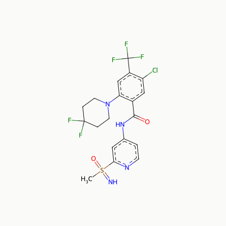 CS(=N)(=O)c1cc(NC(=O)c2cc(Cl)c(C(F)(F)F)cc2N2CCC(F)(F)CC2)ccn1